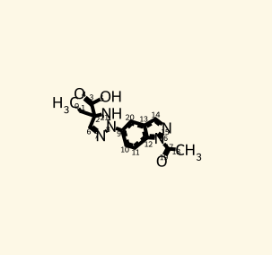 CCC1(C(=O)O)C=NN(c2ccc3c(cnn3C(C)=O)c2)N1